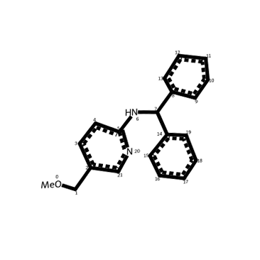 COCc1ccc(NC(c2ccccc2)c2ccccc2)nc1